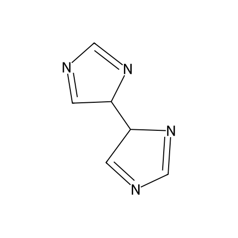 C1=NC=NC1C1C=NC=N1